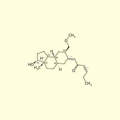 CC/C=C\C(=O)/C=C1\C[C@H]2CC[C@]3(C)[C@@H](O)CC[C@H]3[C@@H]2C[C@H]1COC